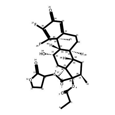 CCC(=O)O[C@]1(C(=O)SC2CCOC2=O)[C@H](C)C[C@H]2[C@@H]3CCC4=CC(=O)C(F)=C(F)[C@]4(C)[C@H]3[C@@H](O)C[C@@]21C